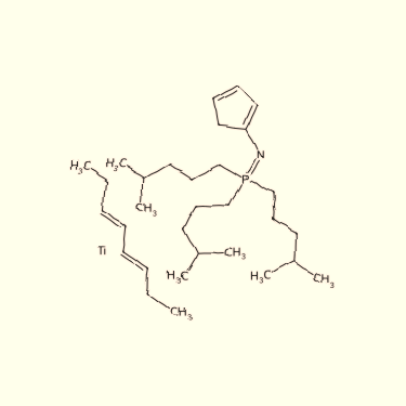 CC(C)CCCP(CCCC(C)C)(CCCC(C)C)=NC1=CC=CC1.CCC=CC=CCC.[Ti]